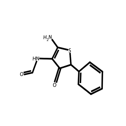 NC1=C(NC=O)C(=O)C(c2ccccc2)S1